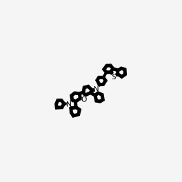 c1ccc(-n2c3ccccc3c3c4oc5c(ccc6c5c5ccccc5n6-c5ccc(-c6cccc7c6sc6ccccc67)cc5)c4ccc32)cc1